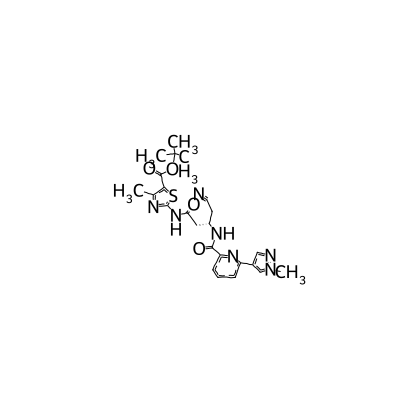 Cc1nc(NC(=O)C[C@H](CC#N)NC(=O)c2cccc(-c3cnn(C)c3)n2)sc1C(=O)OC(C)(C)C